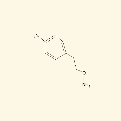 NOCCc1ccc(N)cc1